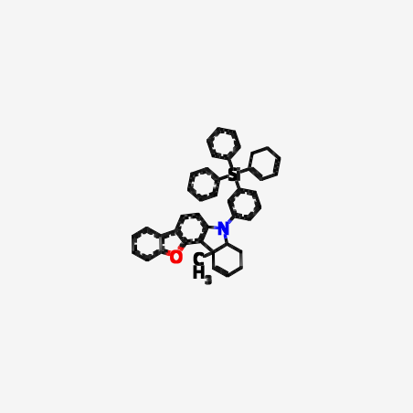 CC12C=CCCC1N(c1cccc([Si](C3=CC=CCC3)(c3ccccc3)c3ccccc3)c1)c1ccc3c(oc4ccccc43)c12